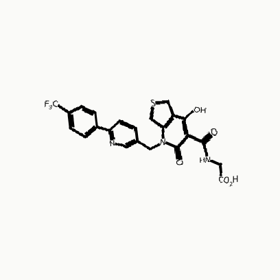 O=C(O)CNC(=O)c1c(O)c2c(n(Cc3ccc(-c4ccc(C(F)(F)F)cc4)nc3)c1=O)CSC2